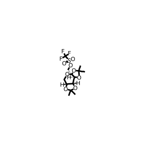 CC1(C)O[C@@H]2[C@@H](CO[C@@]3(COS(=O)(=O)C(F)(F)F)OC(C)(C)O[C@@H]23)O1